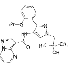 CC(C)Oc1ccccc1-c1nn(CC(C)(C)O)cc1NC(=O)c1cnn2cccnc12